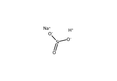 O=[Si]([O-])[O-].[H+].[Na+]